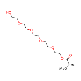 C=C(OC)C(=O)OCCOCCOCCOCCOCCO